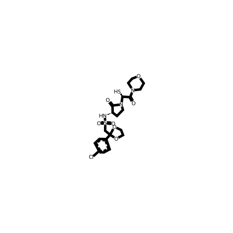 O=C([C@H](S)N1CC[C@H](NS(=O)(=O)CC2(c3ccc(Cl)cc3)OCCO2)C1=O)N1CCOCC1